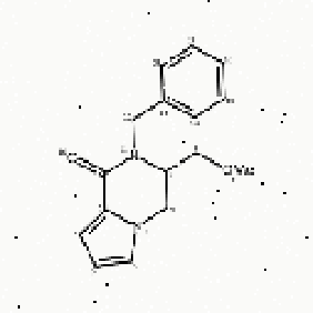 COCC1Cn2cccc2C(=O)N1Cc1ccccc1